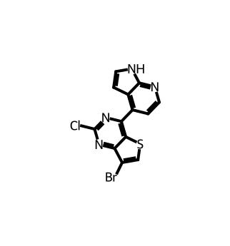 Clc1nc(-c2ccnc3[nH]ccc23)c2scc(Br)c2n1